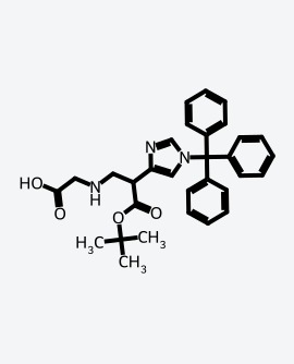 CC(C)(C)OC(=O)C(CNCC(=O)O)c1cn(C(c2ccccc2)(c2ccccc2)c2ccccc2)cn1